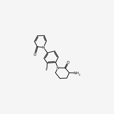 NC1CCCN(c2ccc(-n3ccccc3=O)cc2F)C1=O